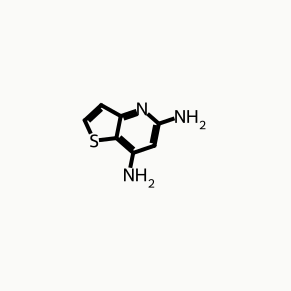 Nc1cc(N)c2sccc2n1